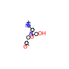 COc1ccc([C@H]2CC[C@H](CN(C(=O)C3CCC(O)CC3)c3cccc(-c4cnn(C(C)(C)C)c4)c3)CC2)cc1C